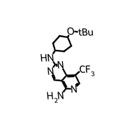 CC(C)(C)OC1CCC(Nc2ncc3c(N)ncc(C(F)(F)F)c3n2)CC1